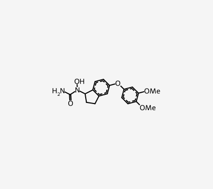 COc1ccc(Oc2ccc3c(c2)CCC3N(O)C(N)=O)cc1OC